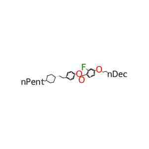 CCCCCCCCCCCCOc1ccc(C(=O)Oc2ccc(CC[C@H]3CC[C@H](CCCCC)CC3)cc2)c(F)c1